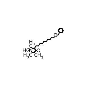 Cc1c(C)n(O)c(C)c(CCCCCCCCCCOCc2ccccc2)c1=O